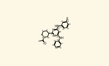 CC(=O)N1CCCC(c2nc(Nc3ccncc3)cc(Nc3cccc(F)c3)n2)C1